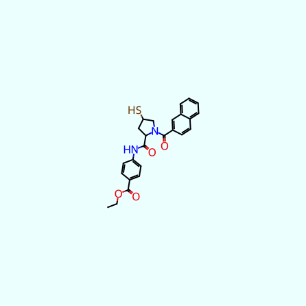 CCOC(=O)c1ccc(NC(=O)C2CC(S)CN2C(=O)c2ccc3ccccc3c2)cc1